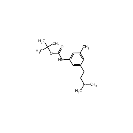 Cc1cc(CCN(C)C)cc(NC(=O)OC(C)(C)C)c1